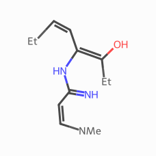 CC/C=C\C(NC(=N)/C=C\NC)=C(/O)CC